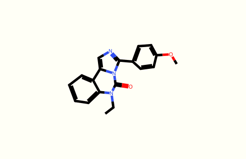 CCn1c(=O)n2c(-c3ccc(OC)cc3)ncc2c2ccccc21